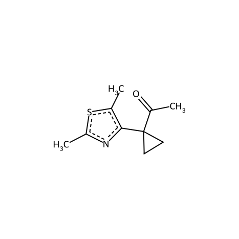 CC(=O)C1(c2nc(C)sc2C)CC1